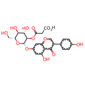 O=C(O)CC(=O)O[C@H]1[C@H](Oc2cc(O)c3c(=O)c(-c4ccc(O)cc4)coc3c2)O[C@H](CO)[C@@H](O)[C@@H]1O